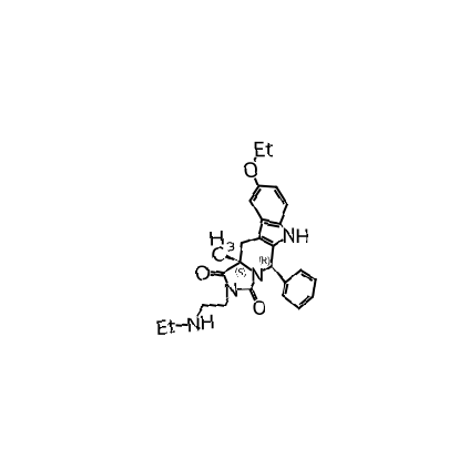 CCNCCN1C(=O)N2[C@H](c3ccccc3)c3[nH]c4ccc(OCC)cc4c3C[C@@]2(C)C1=O